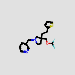 FC(F)OCC1(CCc2cccs2)CCN(Cc2cccnc2)C1